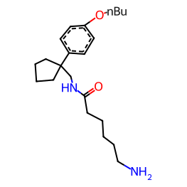 CCCCOc1ccc(C2(CNC(=O)CCCCCN)CCCC2)cc1